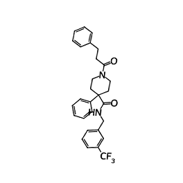 O=C(CCc1ccccc1)N1CCC(C(=O)NCc2cccc(C(F)(F)F)c2)(c2ccccc2)CC1